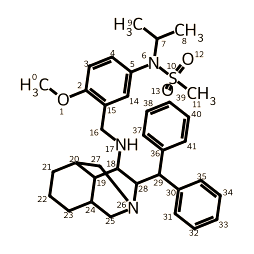 COc1ccc(N(C(C)C)S(C)(=O)=O)cc1CNC1C2C3CCCC2CN(C3)C1C(c1ccccc1)c1ccccc1